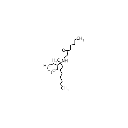 CCCCCCCC(C)(NCCC(=O)CCCCC)C(CC)CC